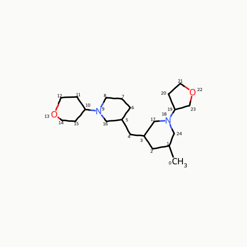 CC1CC(CC2CCCN(C3CCOCC3)C2)CN(C2CCOC2)C1